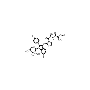 CN[C@@H](C)C(=O)NC(C(=O)N1CCCC1Cc1c(-c2ccc(F)cc2)n([C@@H]2OC[C@@H](O)C(O)[C@H]2O)c2cc(F)ccc12)C(C)(C)C